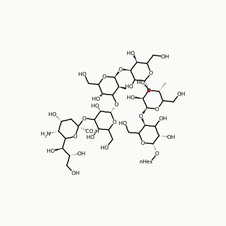 CCCCCCO[C@@H]1OC(CO)[C@@H](O[C@H](OC(CO)[C@@H](C)O[C@H]2OC(CO)[C@H](O)[C@H](O[C@@H]3OC(CO)[C@H](O)C(O[C@@H]4OC(CO)[C@H](O)C(O[C@]5(C(=O)O)C[C@@H](O)[C@@H](N)C([C@H](O)[C@H](O)CO)O5)[C@@H]4O)[C@@H]3C)C2O)[C@@H](O)CO)C(O)[C@@H]1O